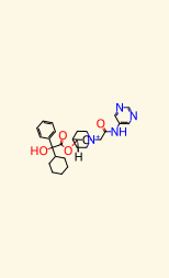 O=C(C[N+]12CCC(CC1)[C@@H](OC(=O)C(O)(c1ccccc1)C1CCCCC1)C2)Nc1cncnc1